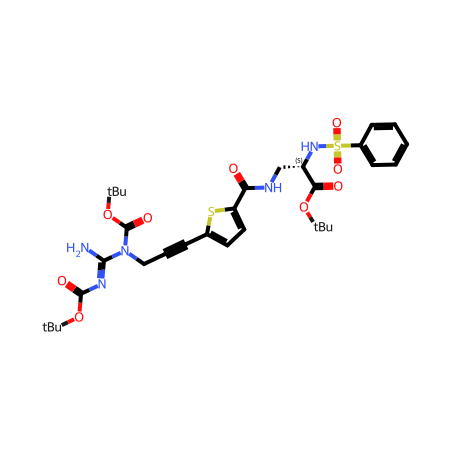 CC(C)(C)OC(=O)N=C(N)N(CC#Cc1ccc(C(=O)NC[C@H](NS(=O)(=O)c2ccccc2)C(=O)OC(C)(C)C)s1)C(=O)OC(C)(C)C